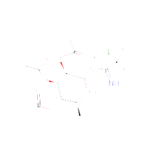 CC(=O)O[C@@H]1[C@@H](OC(C)=O)[C@@H](OC(C)=O)C(OC(=N)C(Cl)(Cl)Cl)O[C@H]1C